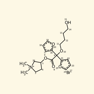 C[N+]1(C)CCC(OC(=O)C(OCCCCO)(c2ccco2)c2ccco2)C1.[Br-]